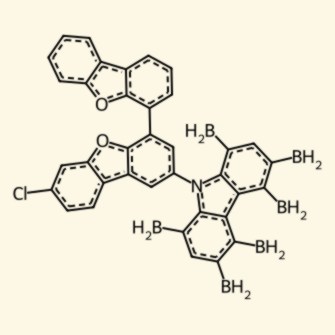 Bc1cc(B)c2c(c1B)c1c(B)c(B)cc(B)c1n2-c1cc(-c2cccc3c2oc2ccccc23)c2oc3cc(Cl)ccc3c2c1